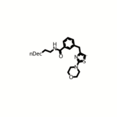 CCCCCCCCCCCCNC(=O)c1cccc(Cc2[c]sc(N3CCOCC3)n2)c1